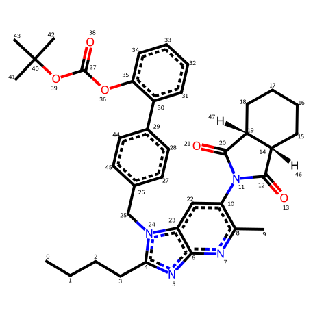 CCCCc1nc2nc(C)c(N3C(=O)[C@H]4CCCC[C@H]4C3=O)cc2n1Cc1ccc(-c2ccccc2OC(=O)OC(C)(C)C)cc1